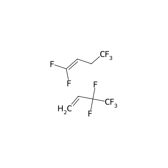 C=CC(F)(F)C(F)(F)F.FC(F)=CCC(F)(F)F